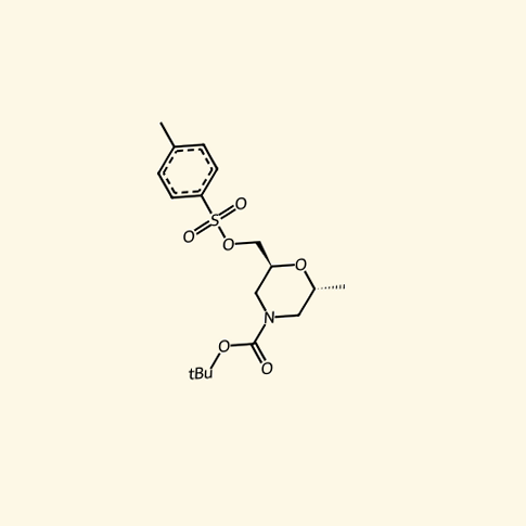 Cc1ccc(S(=O)(=O)OC[C@@H]2CN(C(=O)OC(C)(C)C)C[C@@H](C)O2)cc1